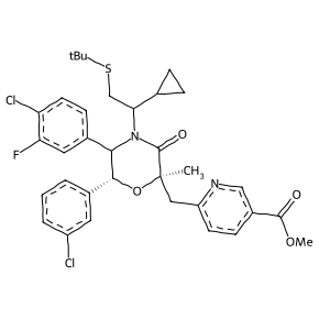 COC(=O)c1ccc(C[C@@]2(C)O[C@H](c3cccc(Cl)c3)C(c3ccc(Cl)c(F)c3)N(C(CSC(C)(C)C)C3CC3)C2=O)nc1